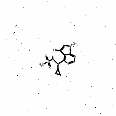 Cn1cc(F)c2c(N(NS(C)(=O)=O)C3CC3)ncnc21